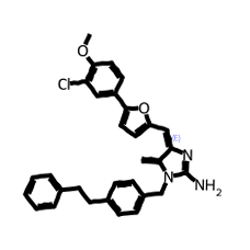 C=c1/c(=C\c2ccc(-c3ccc(OC)c(Cl)c3)o2)nc(N)n1Cc1ccc(CCc2ccccc2)cc1